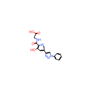 O=C(O)CNC(=O)c1ncc(-c2cn(-c3ccccc3)nn2)cc1O